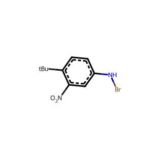 CC(C)(C)c1ccc(NBr)cc1[N+](=O)[O-]